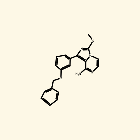 CSc1nc(-c2cccc(OCc3ccccc3)c2)c2c(N)nccn12